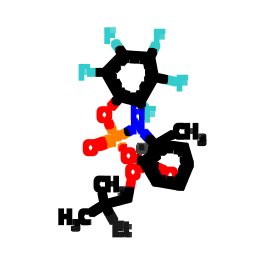 CCC(C)(C)COC(=O)[C@H](C)NP(=O)(Oc1ccccc1)Oc1c(F)c(F)c(F)c(F)c1F